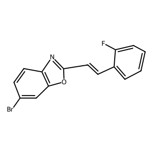 Fc1ccccc1C=Cc1nc2ccc(Br)cc2o1